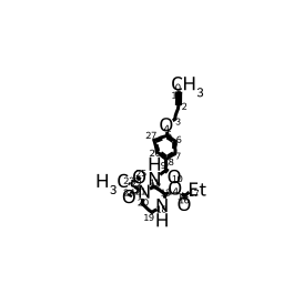 CC#CCOc1ccc(C(=O)N[C@H]2C(OC(=O)CC)NCCN2S(C)(=O)=O)cc1